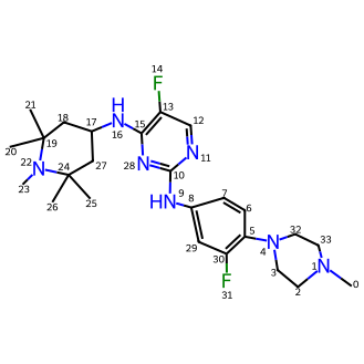 CN1CCN(c2ccc(Nc3ncc(F)c(NC4CC(C)(C)N(C)C(C)(C)C4)n3)cc2F)CC1